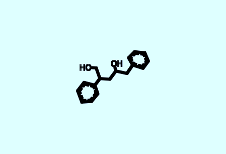 OCC(CC(O)Cc1ccccc1)c1ccccc1